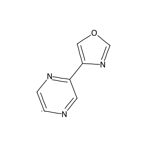 [c]1cnc(-c2cocn2)cn1